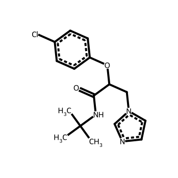 CC(C)(C)NC(=O)C(Cn1ccnc1)Oc1ccc(Cl)cc1